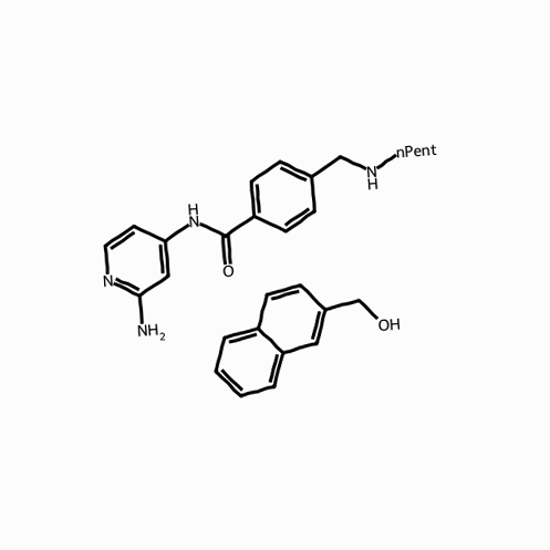 CCCCCNCc1ccc(C(=O)Nc2ccnc(N)c2)cc1.OCc1ccc2ccccc2c1